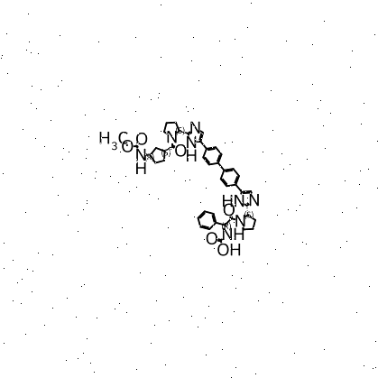 COC(=O)N[C@@H]1CC[C@H](C(=O)N2CCC[C@H]2c2ncc(-c3ccc(-c4ccc(-c5cnc([C@@H]6CCCN6C(=O)[C@H](NC(=O)O)c6ccccc6)[nH]5)cc4)cc3)[nH]2)C1